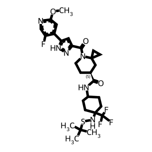 COc1cc(-c2cc(C(=O)N3CC[C@H](C(=O)NC4CCC(NSC(C)(C)C)(C(F)(F)F)CC4)CC34CC4)n[nH]2)c(F)cn1